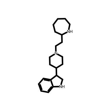 c1ccc2c(c1)NCC2C1CCN(CCC2CCCCCN2)CC1